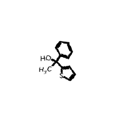 CC(O)(c1ccccc1)c1cccs1